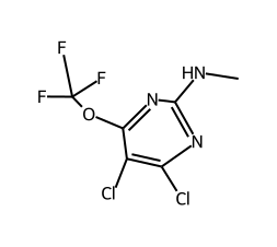 CNc1nc(Cl)c(Cl)c(OC(F)(F)F)n1